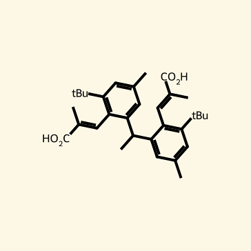 CC(=Cc1c(C(C)c2cc(C)cc(C(C)(C)C)c2C=C(C)C(=O)O)cc(C)cc1C(C)(C)C)C(=O)O